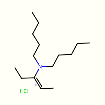 C/C=C(/CC)N(CCCCC)CCCCC.Cl